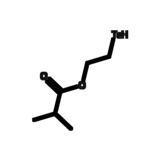 CC(C)C(=O)OCC[TeH]